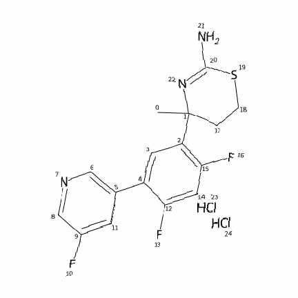 CC1(c2cc(-c3cncc(F)c3)c(F)cc2F)CCSC(N)=N1.Cl.Cl